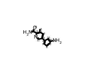 Cc1cc(-c2cccc(N)c2)cnc1C(N)=O